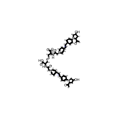 CC(=O)C1CC(O)CN1c1ccc(/C=C/c2cc[n+](CC(=O)NC(CSSCC(NC(=O)C[n+]3ccc(/C=C/c4ccc(N5CC(O)CC5C(C)=O)cc4)cc3)C(=O)O)C(=O)O)cc2)cc1